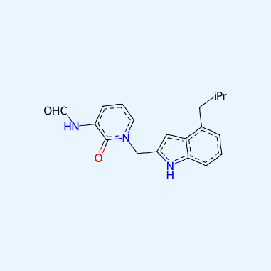 CC(C)Cc1cccc2[nH]c(Cn3cccc(NC=O)c3=O)cc12